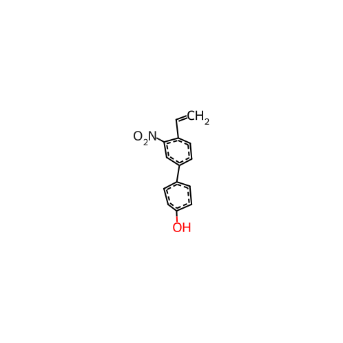 C=Cc1ccc(-c2ccc(O)cc2)cc1[N+](=O)[O-]